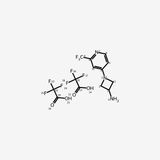 NC1CN(c2ccnc(C(F)(F)F)c2)C1.O=C(O)C(F)(F)F.O=C(O)C(F)(F)F